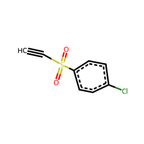 C#CS(=O)(=O)c1ccc(Cl)cc1